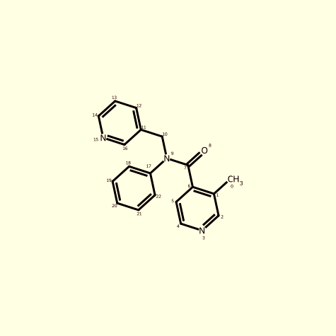 Cc1cnccc1C(=O)N(Cc1cccnc1)c1ccccc1